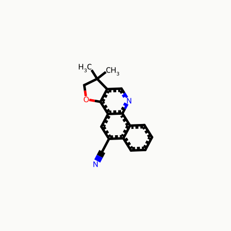 CC1(C)COc2c1cnc1c2cc(C#N)c2ccccc21